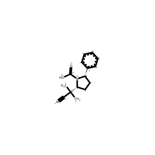 CC(C)(C#N)[C@H]1CC[C@@H](c2ccccc2)N1C(=O)O